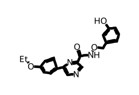 CCOc1ccc(-c2cncc(C(=O)NOCc3cccc(O)c3)n2)cc1